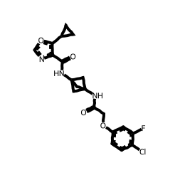 O=C(COc1ccc(Cl)c(F)c1)NC12CC(NC(=O)c3ncoc3C3CC3)(C1)C2